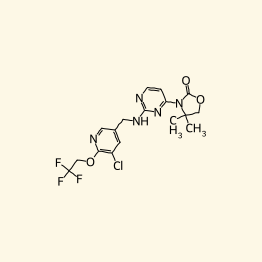 CC1(C)COC(=O)N1c1ccnc(NCc2cnc(OCC(F)(F)F)c(Cl)c2)n1